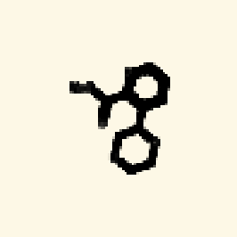 COC(=O)c1ncccc1C1COCCO1